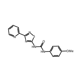 COc1ccc(NC(=O)Nc2nc(-c3ccccn3)ns2)cc1